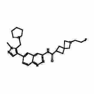 Cn1ncc(-c2ccc3nnc(NC(=O)C4CC5(C4)CN(CCF)C5)cc3c2)c1CN1CCCCC1